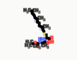 CC(C)=CCC/C(C)=C/CC/C(C)=C/CSC[C@H](NC(=O)C(C)NC(=O)OC(C)(C)C)C(=O)O